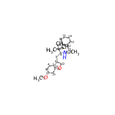 COc1ccc2c(CC(NC(C)c3ccccc3)C(C)(C)C)coc2c1